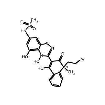 CC(C)CC[C@@]1(C)C(=O)C(C2=NSc3cc(NS(C)(=O)=O)cc(O)c3N2O)=C(O)c2ccccc21